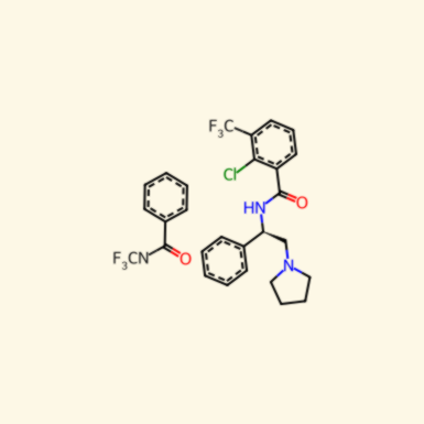 O=C(NC(F)(F)F)c1ccccc1.O=C(N[C@@H](CN1CCCC1)c1ccccc1)c1cccc(C(F)(F)F)c1Cl